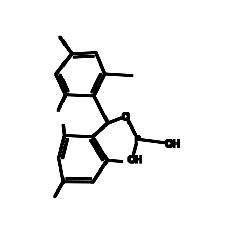 Cc1cc(C)c(C(OP(O)O)c2c(C)cc(C)cc2C)c(C)c1